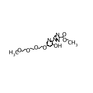 CCOC(=O)c1ncn(-c2ncc(OCCOCCOCCOC)cc2O)n1